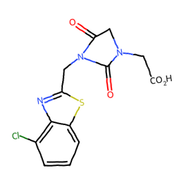 O=C(O)CN1CC(=O)N(Cc2nc3c(Cl)cccc3s2)C1=O